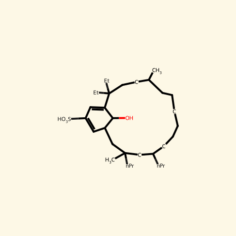 CCCC1CCCCCCC(C)CCC(CC)(CC)C2=CC(S(=O)(=O)O)=CC(CC(C)(CCC)C1)C2O